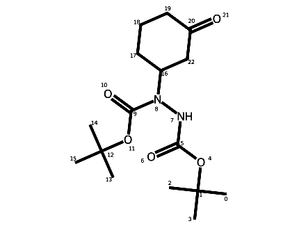 CC(C)(C)OC(=O)NN(C(=O)OC(C)(C)C)C1CCCC(=O)C1